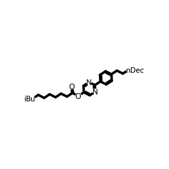 CCCCCCCCCCCCc1ccc(-c2ncc(OC(=O)CCCCCCC(C)CC)cn2)cc1